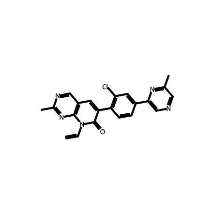 C=Cn1c(=O)c(-c2ccc(-c3cncc(C)n3)cc2Cl)cc2cnc(C)nc21